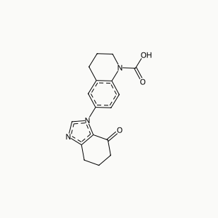 O=C1CCCc2ncn(-c3ccc4c(c3)CCCN4C(=O)O)c21